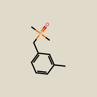 Cc1cccc(CP(C)(C)=O)c1